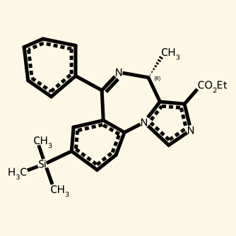 CCOC(=O)c1ncn2c1[C@@H](C)N=C(c1ccccc1)c1cc([Si](C)(C)C)ccc1-2